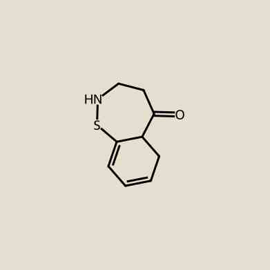 O=C1CCNSC2=CC=CCC12